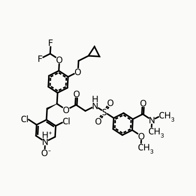 COc1ccc(S(=O)(=O)NCC(=O)O[C@@H](CC2=C(Cl)C[NH+]([O-])C=C2Cl)c2ccc(OC(F)F)c(OCC3CC3)c2)cc1C(=O)N(C)C